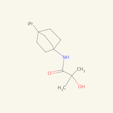 CC(C)C12CCC(NC(=O)C(C)(C)O)(CC1)CC2